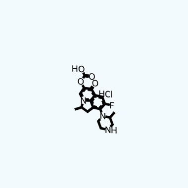 CC1CNCCN1c1c(F)cc2c(=O)c(OC(=O)O)cn3c2c1CC3C.Cl